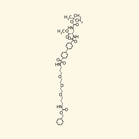 COC(=O)C(CNC(=O)OC(C)(C)C)NS(=O)(=O)c1ccc(-c2ccc(S(=O)(=O)NCCCOCCOCCOCCCNC(=O)OCc3ccccc3)cc2)cc1